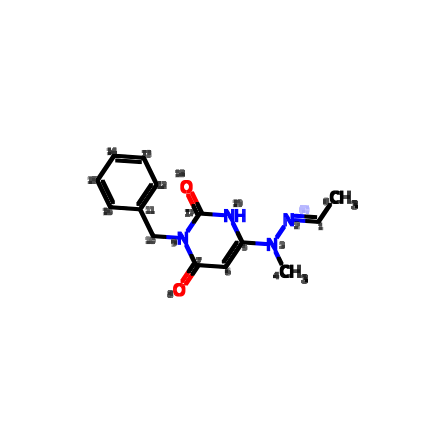 C/C=N/N(C)c1cc(=O)n(Cc2ccccc2)c(=O)[nH]1